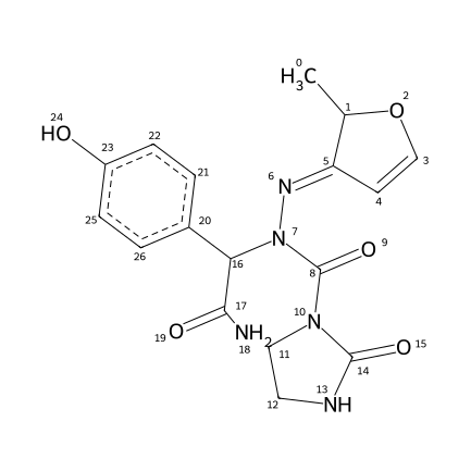 CC1OC=CC1=NN(C(=O)N1CCNC1=O)C(C(N)=O)c1ccc(O)cc1